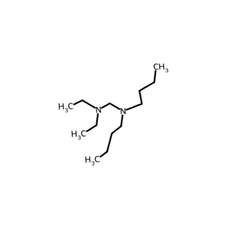 CCCCN(CCCC)CN(CC)CC